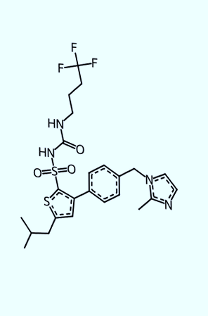 Cc1nccn1Cc1ccc(-c2cc(CC(C)C)sc2S(=O)(=O)NC(=O)NCCCC(F)(F)F)cc1